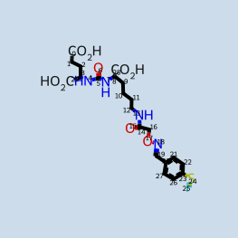 O=C(O)CCC(NC(=O)NC(CCCCNC(=O)CON=Cc1ccc(SF)cc1)C(=O)O)C(=O)O